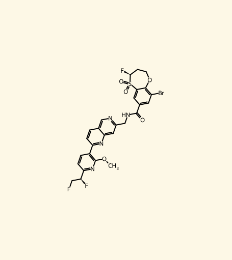 COc1nc([C@@H](F)CF)ccc1-c1ccc2cnc(CNC(=O)c3cc(Br)c4c(c3)S(=O)(=O)[C@@H](F)CCO4)cc2n1